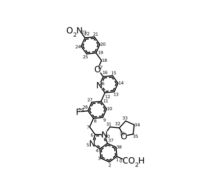 O=C(O)c1ccc2nc(Cc3ccc(-c4cccc(OCc5ccc([N+](=O)[O-])cc5)n4)cc3F)n(CC3CCCO3)c2c1